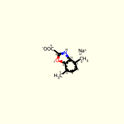 Cc1ccc(C)c2oc(C(=O)[O-])nc12.[Na+]